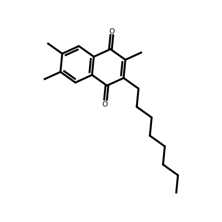 CCCCCCCCC1=C(C)C(=O)c2cc(C)c(C)cc2C1=O